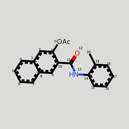 CC(=O)Oc1cc2ccccc2cc1C(=O)Nc1ccccc1C